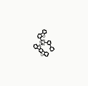 c1ccc(-c2cccc(-c3nc(-c4cccc5c4oc4ccccc45)nc(-n4c5ccccc5c5cc6oc7ccccc7c6cc54)n3)c2)cc1